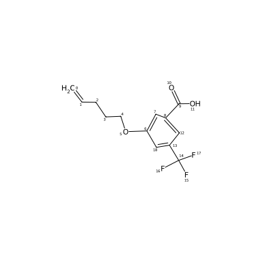 C=CCCCOc1cc(C(=O)O)cc(C(F)(F)F)c1